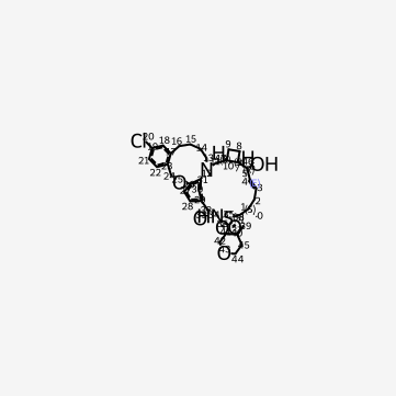 C[C@H]1C/C=C/[C@H](O)[C@H]2CC[C@H]2CN2CCCCc3cc(Cl)ccc3COc3ccc(cc32)C(=O)NS(=O)(=O)[C@H]1CC1CCOCC1